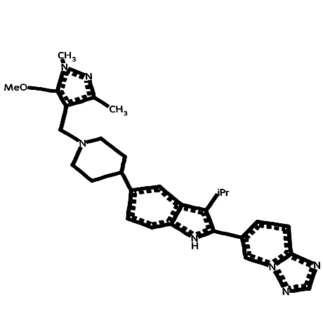 COc1c(CN2CCC(c3ccc4[nH]c(-c5ccc6ncnn6c5)c(C(C)C)c4c3)CC2)c(C)nn1C